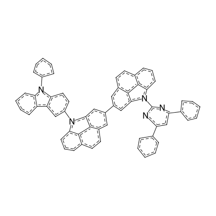 c1ccc(-c2cc(-c3ccccc3)nc(-n3c4cccc5ccc6cc(-c7cc8ccc9cccc%10c9c8c(c7)n%10-c7ccc8c(c7)c7ccccc7n8-c7ccccc7)cc3c6c54)n2)cc1